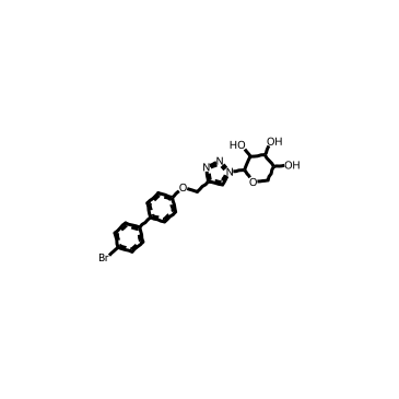 OC1COC(n2cc(COc3ccc(-c4ccc(Br)cc4)cc3)nn2)C(O)C1O